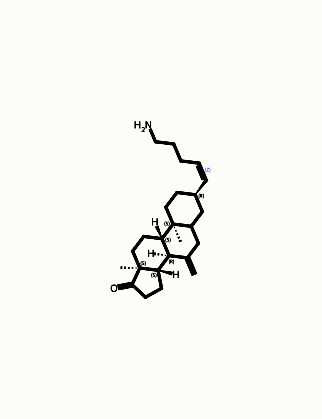 C=C1CC2C[C@H](/C=C\CCCN)CC[C@]2(C)[C@H]2CC[C@]3(C)C(=O)CC[C@H]3[C@H]12